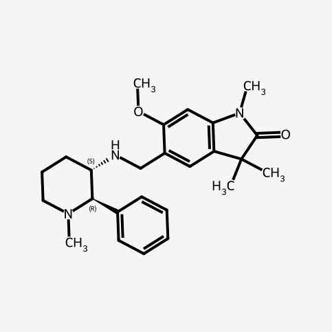 COc1cc2c(cc1CN[C@H]1CCCN(C)[C@@H]1c1ccccc1)C(C)(C)C(=O)N2C